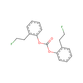 O=C(Oc1ccccc1CCF)Oc1ccccc1CCF